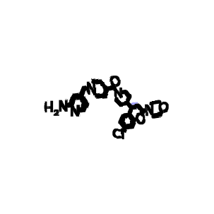 Nc1cc(CN2CCC(C(=O)N3CCC(/C(=C/C(=O)N4CCOCC4)c4ccc(Cl)cc4)CC3)CC2)ccn1